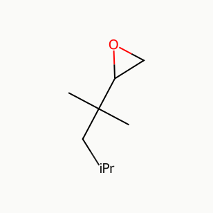 CC(C)CC(C)(C)C1CO1